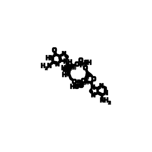 Nc1nc2c(ncn2[C@@H]2O[C@@H]3COP(=O)(O)O[C@@]45C(OC(n6cnc7c(N)ncnc76)[C@@H]4F)C5OP(=O)(S)O[C@@H]2[C@@H]3O)c(=O)[nH]1